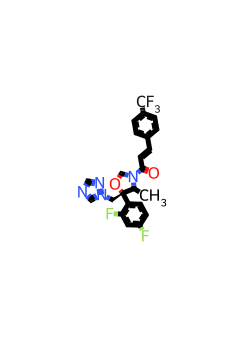 CC1N(C(=O)C=Cc2ccc(C(F)(F)F)cc2)CO[C@@]1(Cn1cncn1)c1ccc(F)cc1F